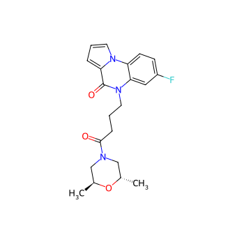 C[C@H]1CN(C(=O)CCCn2c(=O)c3cccn3c3ccc(F)cc32)C[C@H](C)O1